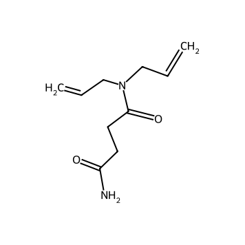 C=CCN(CC=C)C(=O)CCC(N)=O